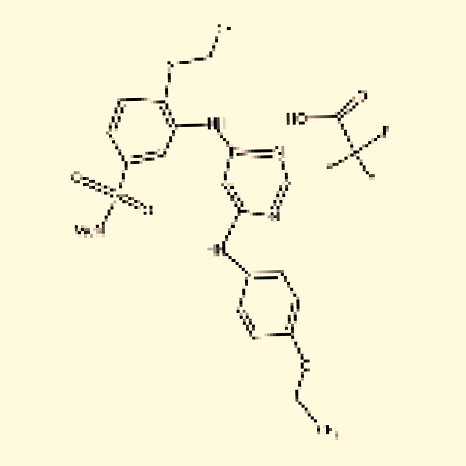 CNS(=O)(=O)c1ccc(SCC(F)(F)F)c(Nc2cc(Nc3ccc(OCC(F)(F)F)cc3)ncn2)c1.O=C(O)C(F)(F)F